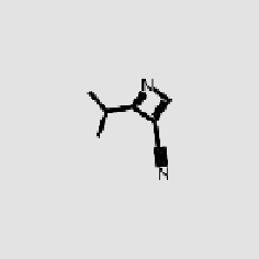 CC(C)C1=NC=C1C#N